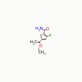 C=C(OCC)c1cc(F)c(C(N)=O)s1